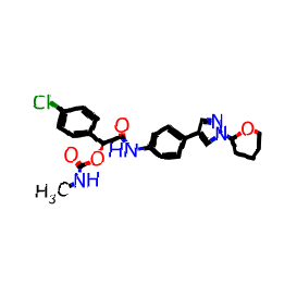 CNC(=O)O[C@H](C(=O)Nc1ccc(-c2cnn(C3CCCCO3)c2)cc1)c1ccc(Cl)cc1